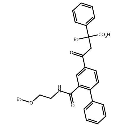 CCOCCNC(=O)c1cc(C(=O)CC(CC)(C(=O)O)c2ccccc2)ccc1-c1ccccc1